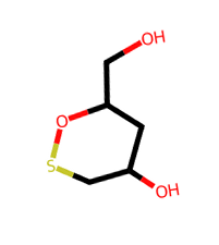 OCC1CC(O)CSO1